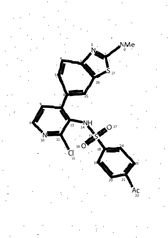 CNc1nc2ccc(-c3ccnc(Cl)c3NS(=O)(=O)c3ccc(C(C)=O)cc3)cc2s1